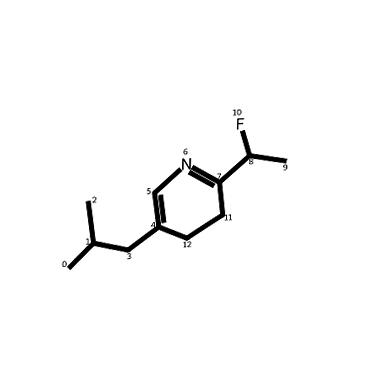 CC(C)CC1=CN=C(C(C)F)CC1